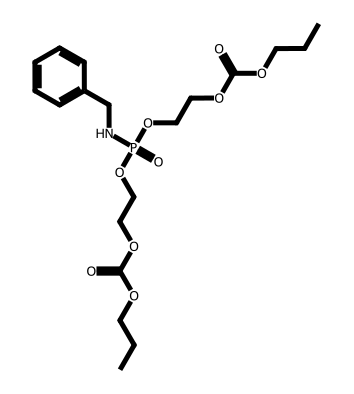 CCCOC(=O)OCCOP(=O)(NCc1ccccc1)OCCOC(=O)OCCC